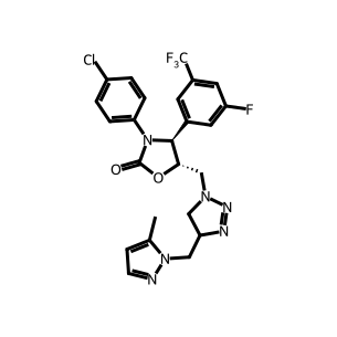 Cc1ccnn1CC1CN(C[C@@H]2OC(=O)N(c3ccc(Cl)cc3)[C@H]2c2cc(F)cc(C(F)(F)F)c2)N=N1